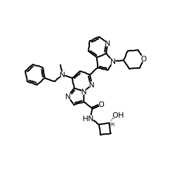 CN(Cc1ccccc1)c1cc(-c2cn(C3CCOCC3)c3ncccc23)nn2c(C(=O)NC3CC[C@H]3O)cnc12